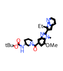 CCc1c(-c2nc3cc(C(=O)N4CCC[C@@H](NC(=O)OC(C)(C)C)C4)cc(OC)c3n2C)cc2cccnn12